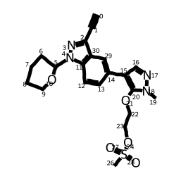 C#Cc1nn(C2CCCCO2)c2ccc(-c3cnn(C)c3OCCOS(C)(=O)=O)cc12